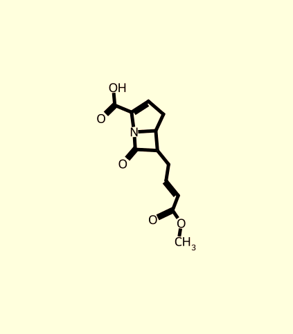 COC(=O)/C=C/CC1C(=O)N2C(C(=O)O)=CCC12